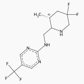 C[C@@H]1CC(F)(F)CNC1CNc1ncc(C(F)(F)F)cn1